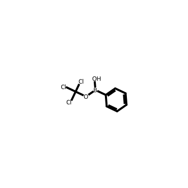 OB(OC(Cl)(Cl)Cl)c1ccccc1